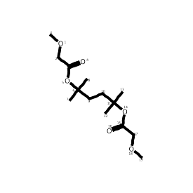 COCC(=O)OC(C)(C)CCC(C)(C)OC(=O)COC